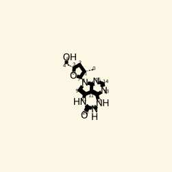 C[C@H]1C[C@@H](CO)O[C@H]1n1cc2c3c(ncnc31)NNC(=O)N2